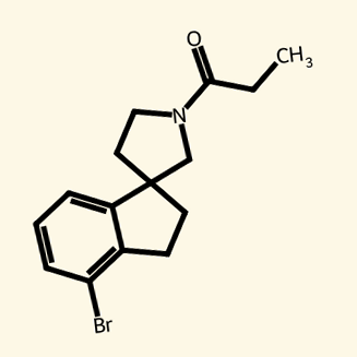 CCC(=O)N1CCC2(CCc3c(Br)cccc32)C1